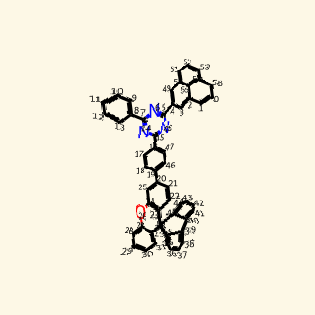 C1=Cc2cc(-c3nc(-c4ccccc4)nc(-c4ccc(-c5ccc6c(c5)Oc5ccccc5C65c6ccccc6-c6ccccc65)cc4)n3)cc3cccc(c23)C1